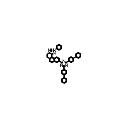 N=C1C=Cc2ccc3cc(-c4nc(-c5ccc(-c6ccccc6)cc5)nc(-c5ccc(-c6ccccc6)cc5)n4)ccc3c2/C1=N/Nc1ccccc1